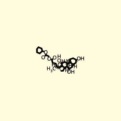 C[C@H](CCC(=O)OCC(=O)OC1CCCCC1)[C@H]1CC[C@H]2[C@@H]3[C@H](O)C[C@@H]4C[C@H](O)CC[C@]4(C)[C@H]3C[C@H](O)[C@]12C